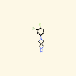 Fc1ccc(N2CC3(CNC3)C2)cc1Cl